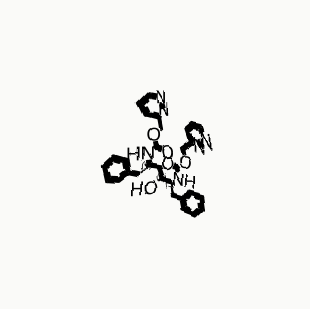 O=C(N[C@@H](Cc1ccccc1)C[C@H](O)[C@H](Cc1ccccc1)NC(=O)OCc1cccnn1)OCc1cccnn1